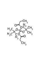 CCC(=O)O[Si](OC(=O)CC)(OC(C)(C)C)OC(C)(C)C